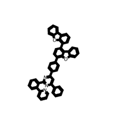 c1ccc(-c2cc(-c3ccc(-c4ccc(-c5cccc6c5oc5ccccc56)c5c4oc4ccccc45)cc3)nc(-c3ccccc3-c3ccccn3)n2)cc1